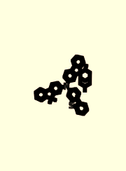 CC1CC2CC(C)C3(c4ccccc4-c4ccc(N(c5ccc6c(c5)C(C)(C)c5ccccc5-6)c5ccc6c(c5)sc5ccccc56)cc43)C(C1)C2